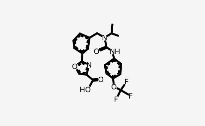 CC(C)N(Cc1cccc(-c2nc(C(=O)O)co2)c1)C(=O)Nc1ccc(OC(F)(F)F)cc1